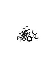 CCC(C)N(CC)c1cccc(N(S(=O)(=O)C(F)(F)F)S(=O)(=O)C(F)(F)F)c1